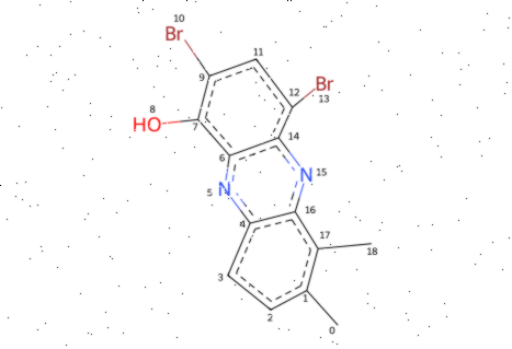 Cc1ccc2nc3c(O)c(Br)cc(Br)c3nc2c1C